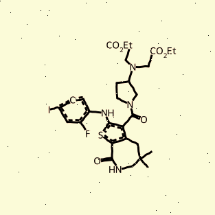 CCOC(=O)CN(CC(=O)OCC)C1CCN(C(=O)c2c(Nc3ccc(I)cc3F)sc3c2CC(C)(C)CNC3=O)C1